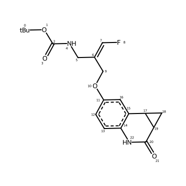 CC(C)(C)OC(=O)NC/C(=C/F)COc1ccc2c(c1)C1CC1C(=O)N2